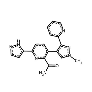 Cn1cc(-c2ccc(-c3ccn[nH]3)nc2C(N)=O)c(-c2ccccn2)n1